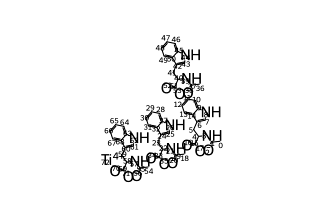 CC(=O)NC(Cc1c[nH]c2ccccc12)C(=O)[O-].CC(=O)NC(Cc1c[nH]c2ccccc12)C(=O)[O-].CC(=O)NC(Cc1c[nH]c2ccccc12)C(=O)[O-].CC(=O)NC(Cc1c[nH]c2ccccc12)C(=O)[O-].[Ti+4]